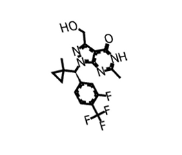 Cc1nc2c(c(CO)nn2[C@@H](c2ccc(C(F)(F)F)c(F)c2)C2(C)CC2)c(=O)[nH]1